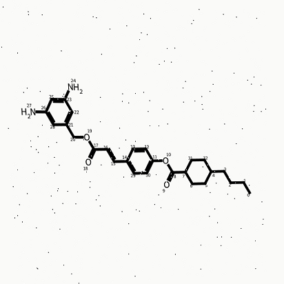 CCCCC1CCC(C(=O)Oc2ccc(C=CC(=O)OCc3cc(N)cc(N)c3)cc2)CC1